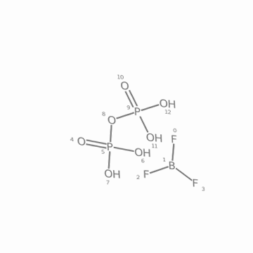 FB(F)F.O=P(O)(O)OP(=O)(O)O